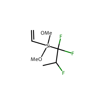 C=C[Si](OC)(OC)C(F)(F)C(C)F